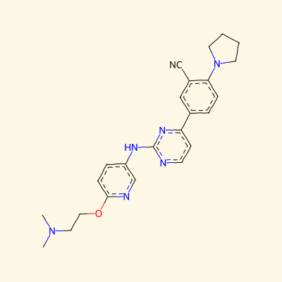 CN(C)CCOc1ccc(Nc2nccc(-c3ccc(N4CCCC4)c(C#N)c3)n2)cn1